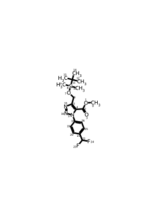 COC(=O)c1c(CO[Si](C)(C)C(C)(C)C)nnn1-c1ccc(C(F)F)cc1